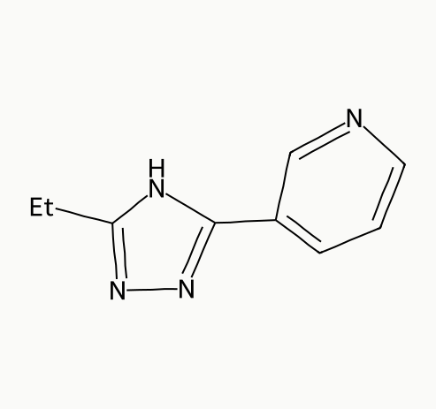 CCc1nnc(-c2cccnc2)[nH]1